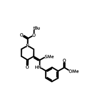 COC(=O)c1cccc(N/C(SC)=C2/CN(C(=O)OC(C)(C)C)CCC2=O)c1